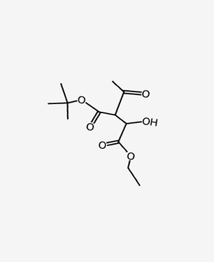 CCOC(=O)C(O)C(C(C)=O)C(=O)OC(C)(C)C